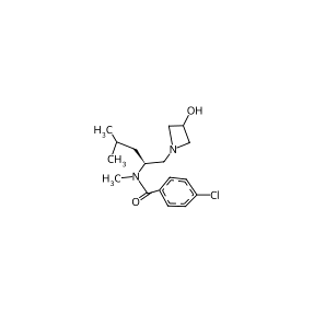 CC(C)C[C@@H](CN1CC(O)C1)N(C)C(=O)c1ccc(Cl)cc1